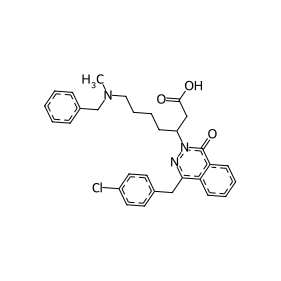 CN(CCCCC(CC(=O)O)n1nc(Cc2ccc(Cl)cc2)c2ccccc2c1=O)Cc1ccccc1